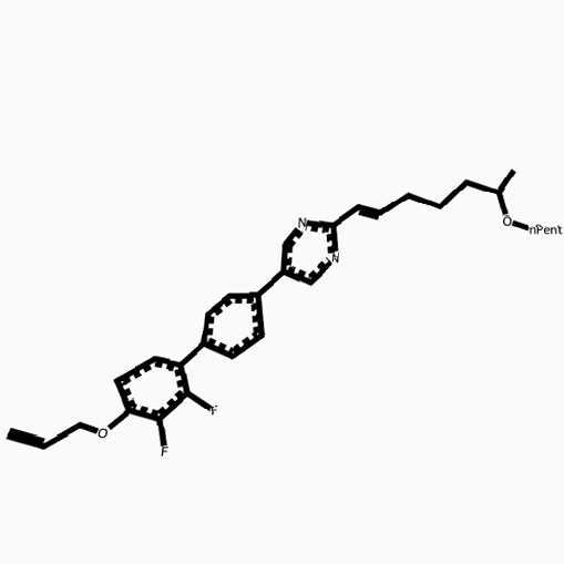 C=CCOc1ccc(-c2ccc(-c3cnc(C=CCCCC(C)OCCCCC)nc3)cc2)c(F)c1F